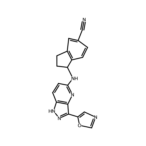 N#Cc1ccc2c(c1)CCC2Nc1ccc2[nH]nc(-c3cnco3)c2n1